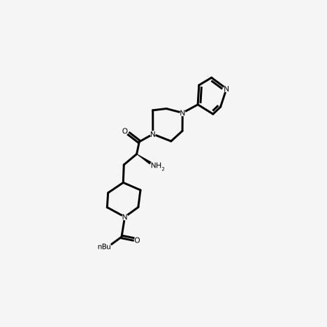 CCCCC(=O)N1CCC(C[C@H](N)C(=O)N2CCN(c3ccncc3)CC2)CC1